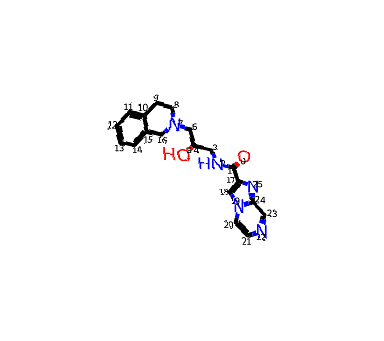 O=C(NCC(O)CN1CCc2ccccc2C1)c1cn2ccncc2n1